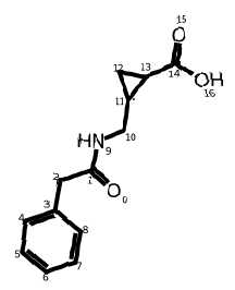 O=C(Cc1ccccc1)NC[C]1CC1C(=O)O